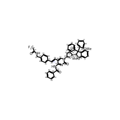 COc1ccccc1C(c1ccccc1)(c1ccccc1OC)C(O)[C@H]1O[C@@H](n2cc(/C=C/c3ccc(CNC(=O)C(F)(F)F)cc3)c(NC(=O)c3ccccc3)nc2=O)C[C@@H]1O